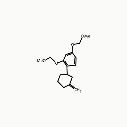 C=C1CCCC(c2ccc(OCOC)cc2OCOC)C1